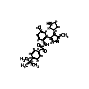 Cc1nnc(-c2cc(Cl)ccc2NS(=O)(=O)c2ccc(C(C)(C)C)cc2)n1[C@@H]1CCNC1